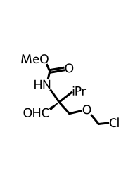 COC(=O)N[C@@](C=O)(COCCl)C(C)C